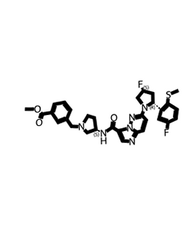 COC(=O)c1cccc(CN2CC[C@H](NC(=O)c3cnc4ccc(N5C[C@@H](F)C[C@@H]5c5cc(F)ccc5SC)nn34)C2)c1